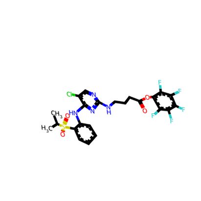 CC(C)S(=O)(=O)c1ccccc1Nc1nc(NCCCC(=O)Oc2c(F)c(F)c(F)c(F)c2F)ncc1Cl